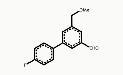 COCc1cc(C=O)cc(-c2ccc(F)cc2)c1